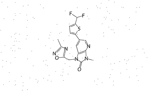 Cc1noc(Cn2c(=O)n(C)c3ncc(-c4ccc(C(F)F)s4)cc32)n1